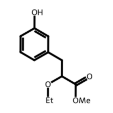 CCOC(Cc1cccc(O)c1)C(=O)OC